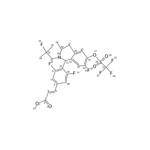 COC(=O)/C=C/c1cc(F)c(C2c3cc(F)c(OS(=O)(=O)C(F)(F)F)cc3CC(C)N2CC(C)(C)F)c(F)c1